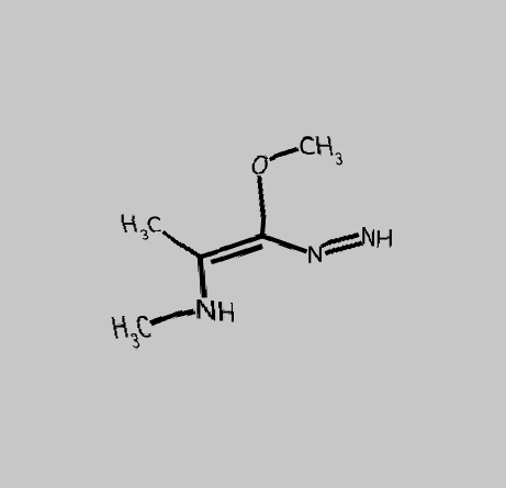 CN/C(C)=C(\N=N)OC